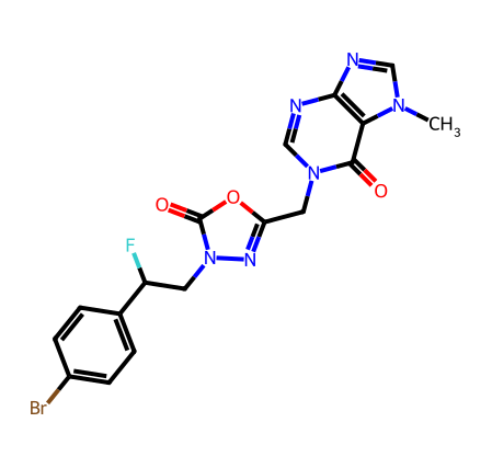 Cn1cnc2ncn(Cc3nn(CC(F)c4ccc(Br)cc4)c(=O)o3)c(=O)c21